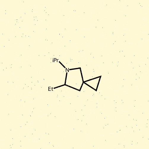 CCC1CC2(CC2)CN1C(C)C